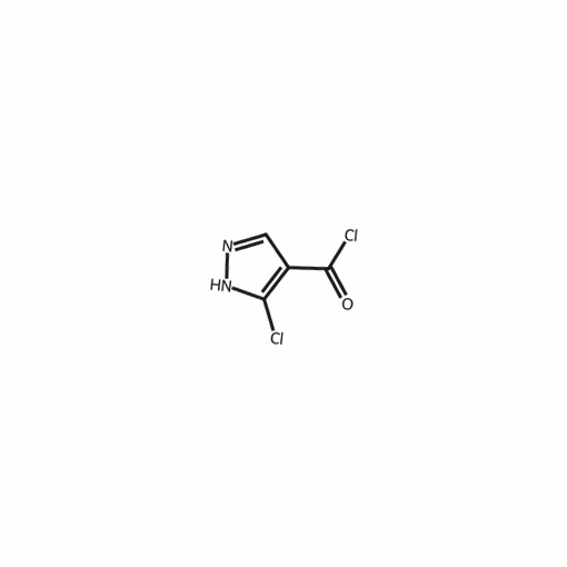 O=C(Cl)c1cn[nH]c1Cl